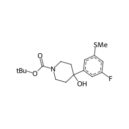 CSc1cc(F)cc(C2(O)CCN(C(=O)OC(C)(C)C)CC2)c1